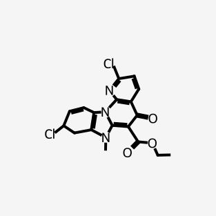 CCOC(=O)c1c(=O)c2ccc(Cl)nc2n2c3c(n(C)c12)CC(Cl)C=C3